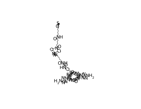 Nc1ncnc2c1ncn2[C@@H]1O[C@@H]2COP(=O)(SCc3ccc(NC(=O)CNC(=O)CCCCCn4nnc5c4-c4ccccc4N(C(=O)CCCCC(=O)NCCCCCCOP=S)Cc4ccccc4-5)cc3)O[C@H]3[C@@H](F)[C@H](n4cnc5c(N)ncnc54)O[C@@H]3CO[PH](=O)O[C@H]2[C@H]1F